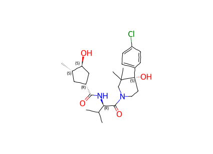 CC(C)[C@@H](NC(=O)[C@@H]1C[C@H](C)[C@@H](O)C1)C(=O)N1CC[C@](O)(c2ccc(Cl)cc2)C(C)(C)C1